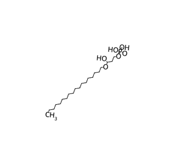 CCCCCCCCCCCCCCCCCCOC(O)CCOP(=O)(O)O